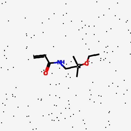 C=CC(=O)NC[Si](C)(C)OCC